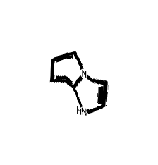 [c]1cn2cccc2[nH]1